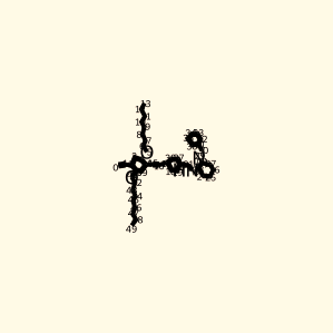 C#Cc1cc(OCCCCCCCC)c(C#Cc2ccc(CN[C@@H]3CCCC[C@H]3N=Cc3ccccc3)cc2)cc1OCCCCCCCC